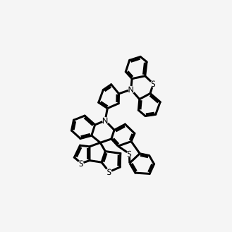 c1cc(N2c3ccccc3Sc3ccccc32)cc(N2c3ccccc3C3(c4ccsc4-c4sccc43)c3c2ccc2c3sc3ccccc32)c1